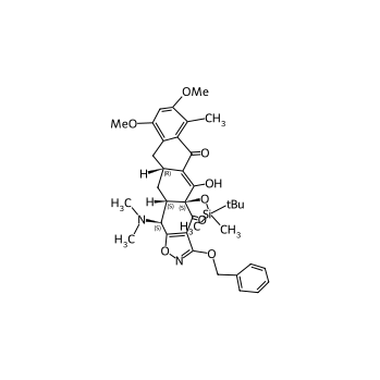 COc1cc(OC)c2c(c1C)C(=O)C1=C(O)[C@]3(O[Si](C)(C)C(C)(C)C)C(=O)c4c(OCc5ccccc5)noc4[C@@H](N(C)C)[C@@H]3C[C@@H]1C2